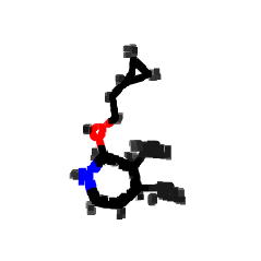 CC(C)(C)c1ccnc(OCCC2CC2)c1C(C)(C)C